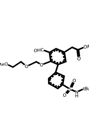 COCCOCOc1c(C=O)cc(CC(=O)OC)cc1-c1cccc(S(=O)(=O)NC(C)(C)C)c1